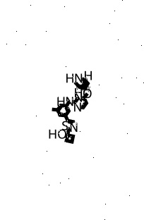 Cc1cc(Nc2nccc(O[C@@H]3C[C@@H]4C[C@@H]3CN4)n2)cc(-c2cnc(C3(O)CCC3)s2)c1